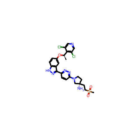 C[C@@H](Oc1ccc2[nH]nc(-c3ccc(N4CC[C@@](N)(CCS(C)(=O)=O)C4)nn3)c2c1)c1c(Cl)cncc1Cl